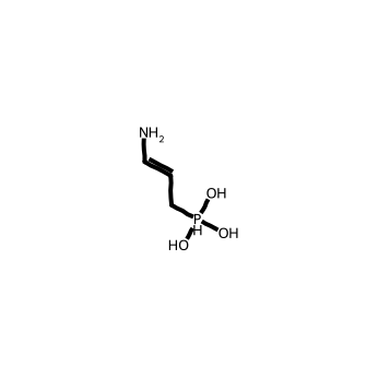 NC=CC[PH](O)(O)O